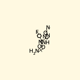 CN(C)CCOc1nccc(-c2[nH]c(C3OCC(C)(CN)CO3)nc2-c2ccc(F)cc2)n1